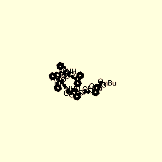 CCCCOC(=O)c1cc(=O)c2c(OCC(O)COc3cccc4oc(C(=O)NCCNC(=O)[C@@H](Cc5ccccc5)NC(=O)[C@@H](Cc5ccccc5)NC(=O)[C@@H](Cc5ccccc5)NC(=O)OCC5c6ccccc6-c6ccccc65)cc(=O)c34)cccc2o1